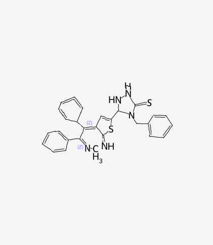 C/N=C(\C(=C1\C=C(C2NNC(=S)N2Cc2ccccc2)SC1=N)C1C=C=CC=C1)c1ccccc1